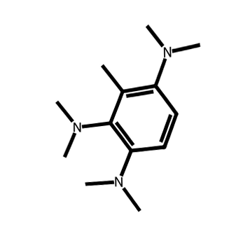 Cc1c(N(C)C)ccc(N(C)C)c1N(C)C